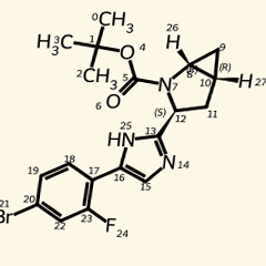 CC(C)(C)OC(=O)N1[C@@H]2C[C@@H]2C[C@H]1c1ncc(-c2ccc(Br)cc2F)[nH]1